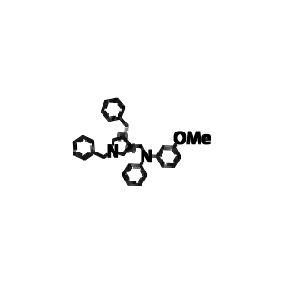 COc1cccc(N(C[C@H]2CN(Cc3ccccc3)C[C@@H]2Cc2ccccc2)c2ccccc2)c1